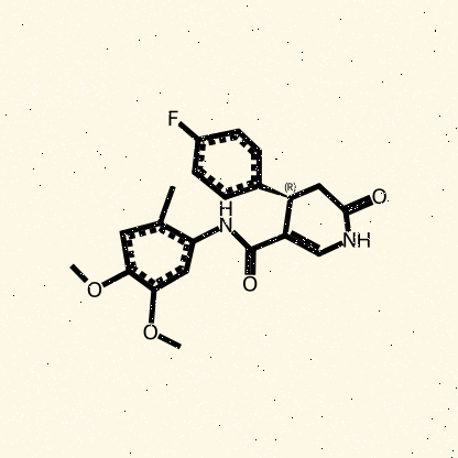 COc1cc(C)c(NC(=O)C2=CNC(=O)C[C@@H]2c2ccc(F)cc2)cc1OC